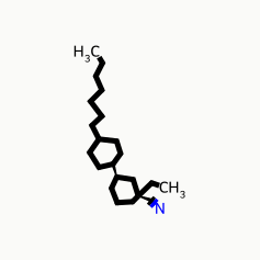 CCCCCCCC1CCC([C@@H]2CCC[C@@](C#N)(CC)C2)CC1